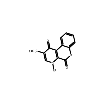 CCOC(=O)c1cn(CC)c2c(=O)oc3ccccc3c2c1=O